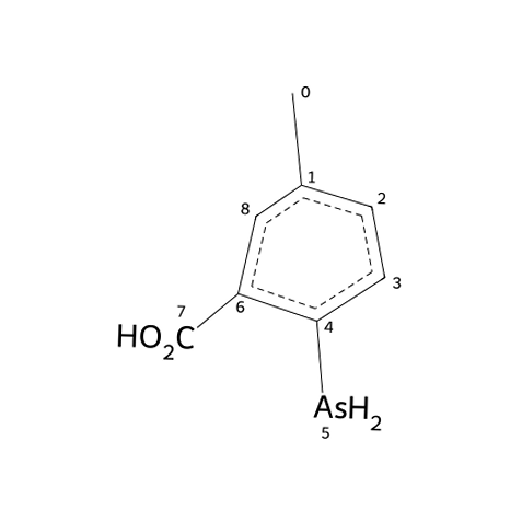 Cc1ccc([AsH2])c(C(=O)O)c1